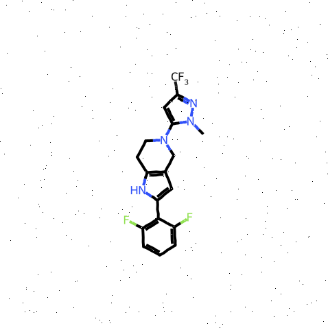 Cn1nc(C(F)(F)F)cc1N1CCc2[nH]c(-c3c(F)cccc3F)cc2C1